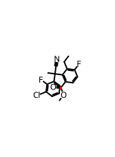 CCc1c(F)ccc(C(=O)OC)c1C(C)(C#N)c1cccc(Cl)c1F